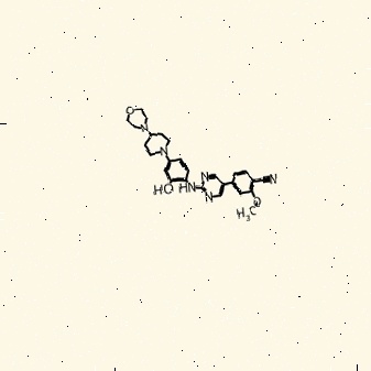 COc1cc(-c2cnc(Nc3ccc(N4CCC(N5CCOCC5)CC4)cc3O)nc2)ccc1C#N